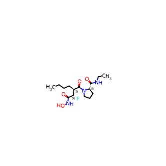 CCCC[C@@H](C(=O)N1CCC[C@H]1C(=O)NCC)[C@H](F)C(=O)NO